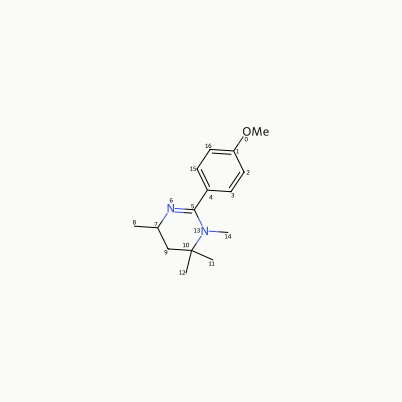 COc1ccc(C2=NC(C)CC(C)(C)N2C)cc1